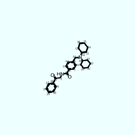 O=C(CNC(=O)c1ccc(CN(C2CCCCC2)C2CCCCC2)cc1)c1ccccc1